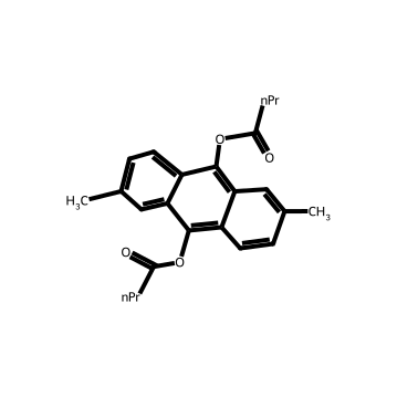 CCCC(=O)Oc1c2ccc(C)cc2c(OC(=O)CCC)c2ccc(C)cc12